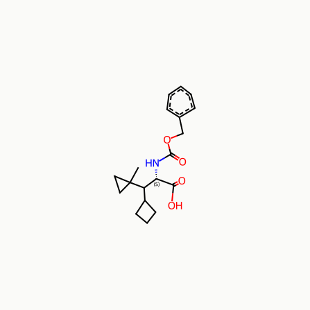 CC1(C(C2CCC2)[C@H](NC(=O)OCc2ccccc2)C(=O)O)CC1